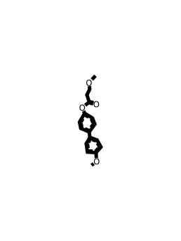 COCCC(=O)Oc1ccc(-c2ccc(OC)cc2)cc1